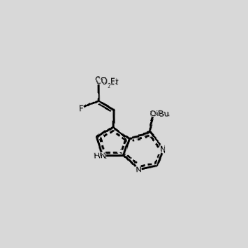 CCOC(=O)C(F)=Cc1c[nH]c2ncnc(OCC(C)C)c12